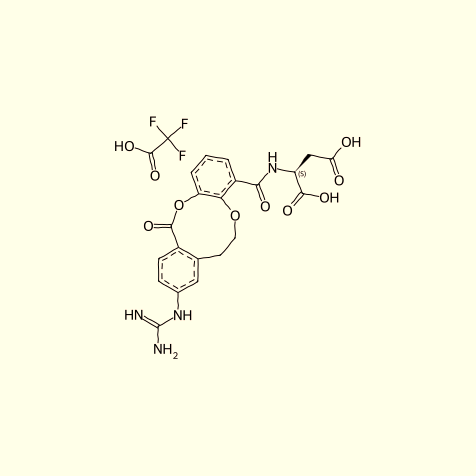 N=C(N)Nc1ccc2c(c1)CCOc1c(cccc1C(=O)N[C@@H](CC(=O)O)C(=O)O)OC2=O.O=C(O)C(F)(F)F